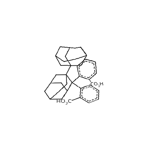 O=C(O)c1ccccc1C1(c2ccccc2C(=O)O)C2CC3CC(C2)CC1(C12CC4CC(CC(C4)C1)C2)C3